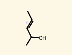 [CH2]C(O)/C=C/C